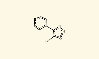 CC(C)c1onnc1-c1ccccc1